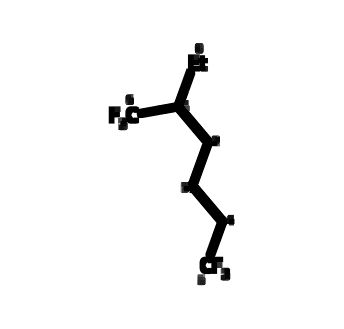 CCC(C[CH]CC(F)(F)F)C(F)(F)F